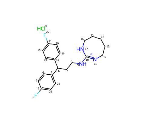 Cl.Fc1ccc(C(CCN/C2=N/CCCCCN2)c2ccc(F)cc2)cc1